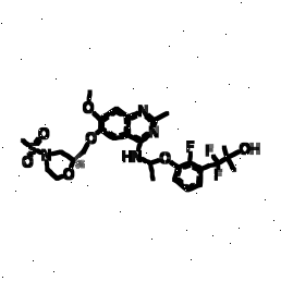 COc1cc2nc(C)nc(NC(C)Oc3cccc(C(F)(F)C(C)(C)O)c3F)c2cc1OC[C@@H]1CN(S(C)(=O)=O)CCO1